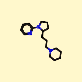 c1ccc(N2CCC[C@H]2CCCN2CCCCC2)nc1